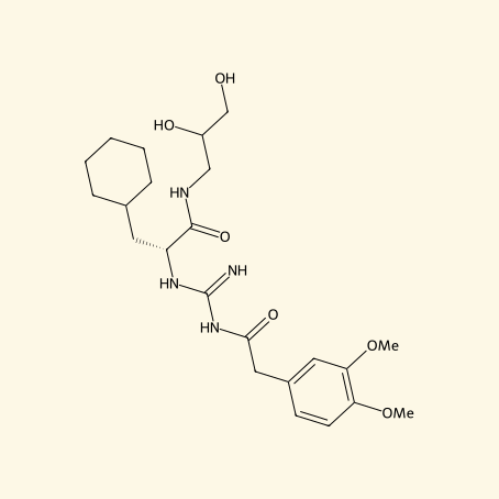 COc1ccc(CC(=O)NC(=N)N[C@H](CC2CCCCC2)C(=O)NCC(O)CO)cc1OC